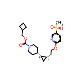 CS(=O)(=O)c1ccc(OCC[C@@H]2C[C@@H]2C2CCN(C(=O)OCC3CCC3)CC2)nc1